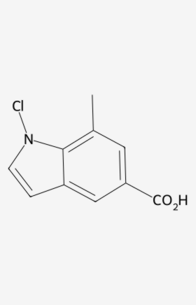 Cc1cc(C(=O)O)cc2ccn(Cl)c12